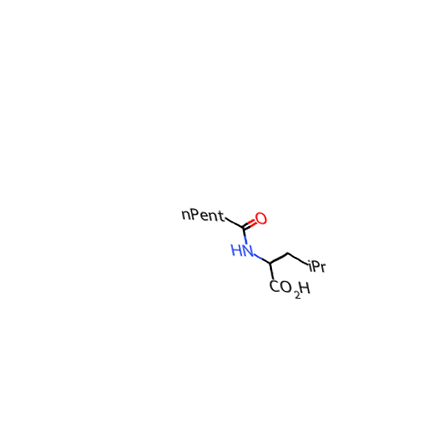 CCCCCC(=O)NC(CC(C)C)C(=O)O